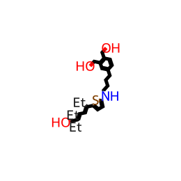 CCC(=CC=CC(O)(CC)CC)c1ccc(NCCCCc2ccc(CO)c(CO)c2)s1